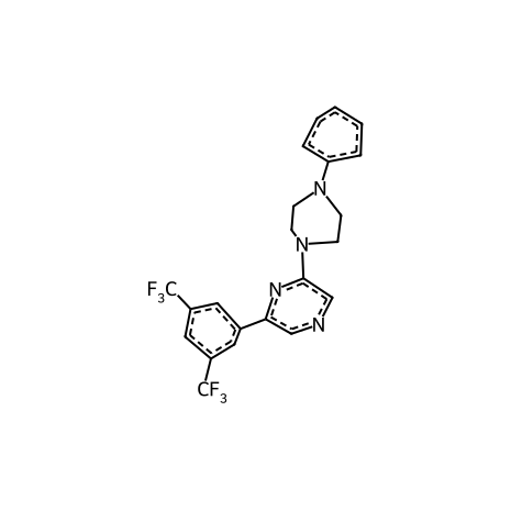 FC(F)(F)c1cc(-c2cncc(N3CCN(c4ccccc4)CC3)n2)cc(C(F)(F)F)c1